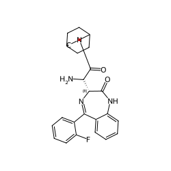 NC(C(=O)N1CC2CCC(CC2)C1)[C@H]1N=C(c2ccccc2F)c2ccccc2NC1=O